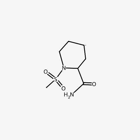 CS(=O)(=O)N1CC[CH]CC1C(N)=O